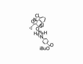 CC(C)COC(=O)c1ccc(N2C[C@@H]3C[C@H]2C[C@H]3OC(=O)c2c(-c3c(Cl)cccc3Cl)noc2C2CC2)cc1